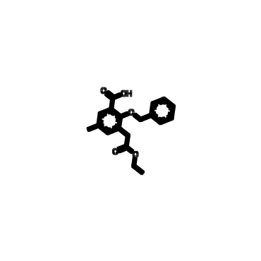 CCOC(=O)Cc1cc(C)cc(C(=O)O)c1OCc1ccccc1